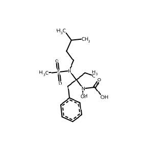 CCC(Cc1ccccc1)(N(O)C(=O)O)N(CCC(C)C)S(C)(=O)=O